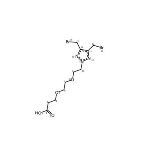 O=C(O)CCOCCOCCn1nc(CBr)c(CBr)n1